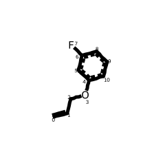 C=CCOc1[c]c(F)ccc1